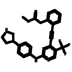 COC(=O)Cc1ccccc1C#Cc1nc(Nc2ccc(C3CCNC3)cc2)ncc1C(F)(F)F